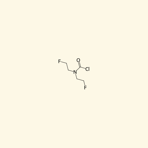 O=C(Cl)N(CCF)CCF